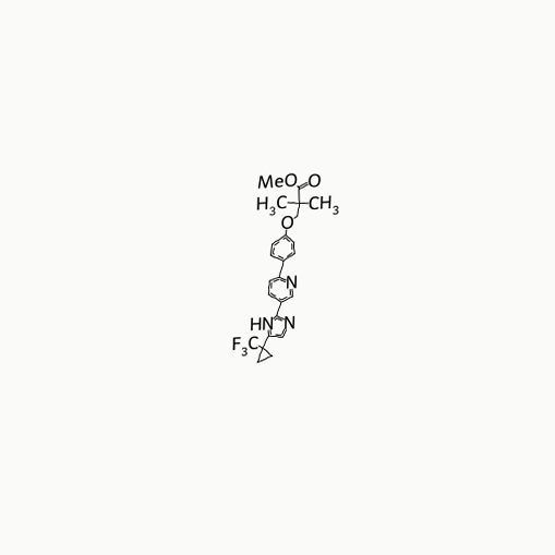 COC(=O)C(C)(C)COc1ccc(-c2ccc(-c3ncc(C4(C(F)(F)F)CC4)[nH]3)cn2)cc1